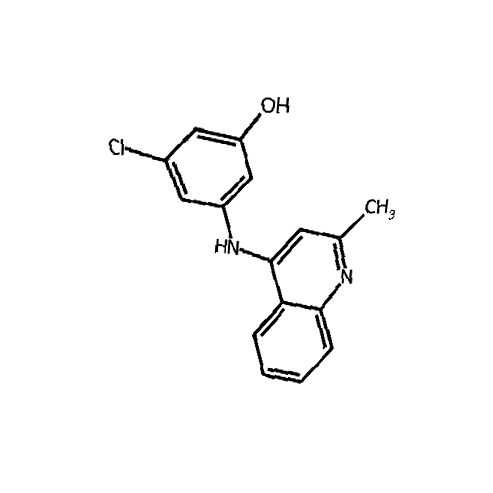 Cc1cc(Nc2cc(O)cc(Cl)c2)c2ccccc2n1